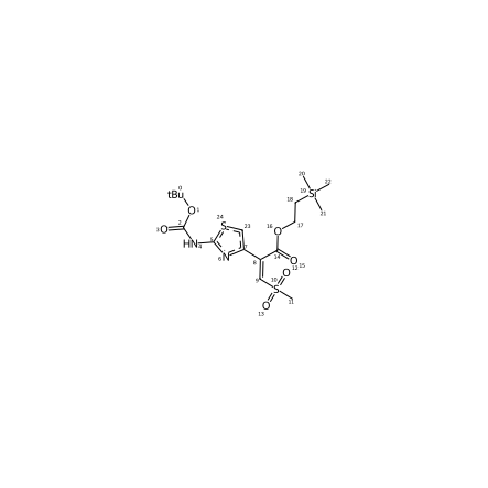 CC(C)(C)OC(=O)Nc1nc(C(=CS(C)(=O)=O)C(=O)OCC[Si](C)(C)C)cs1